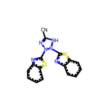 N#CC1=NN(c2nc3ccccc3s2)N(c2nc3ccccc3s2)N1